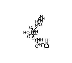 C[C@@H](NC(=O)Cn1cnnn1)[C@H]1C(=O)N2C(C(=O)O)=C(S[C@@H]3CNC(C(=O)N4CC5CCCNC5C4)C3)[C@H](C)[C@H]12